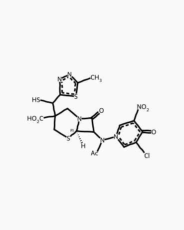 CC(=O)N(C1C(=O)N2CC(C(=O)O)(C(S)c3nnc(C)s3)CS[C@H]12)n1cc(Cl)c(=O)c([N+](=O)[O-])c1